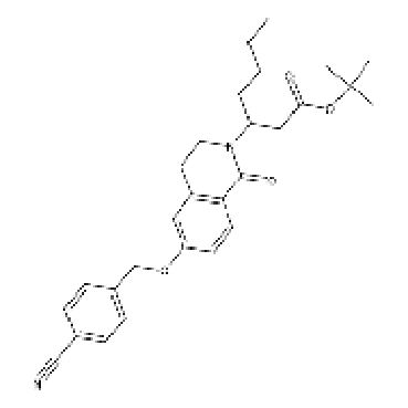 CCCCC(CC(=O)OC(C)(C)C)N1CCc2cc(OCc3ccc(C#N)cc3)ccc2C1=O